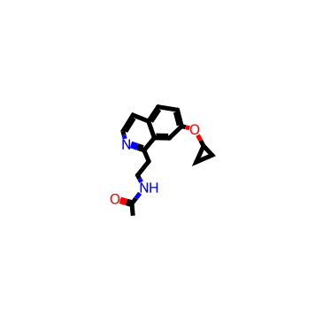 CC(=O)NCCc1nccc2ccc(OC3CC3)cc12